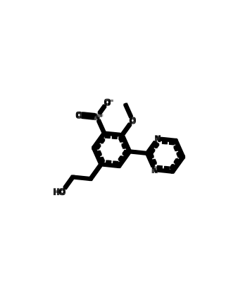 COc1c(-c2ncccn2)cc(CCO)cc1[N+](=O)[O-]